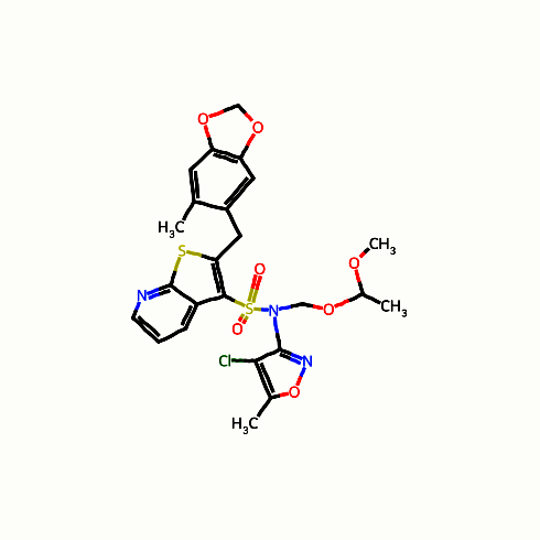 COC(C)OCN(c1noc(C)c1Cl)S(=O)(=O)c1c(Cc2cc3c(cc2C)OCO3)sc2ncccc12